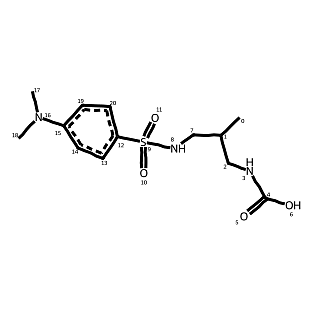 CC(CNC(=O)O)CNS(=O)(=O)c1ccc(N(C)C)cc1